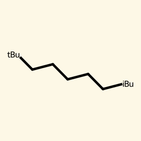 [CH2]CC(C)CCCCCC(C)(C)C